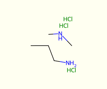 CCCN.CNC.Cl.Cl.Cl